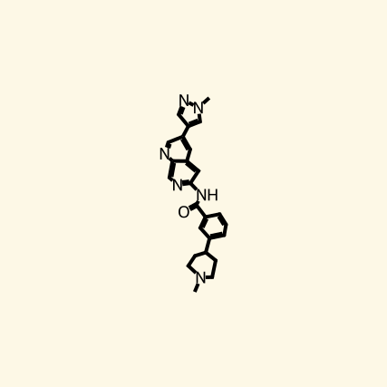 CN1CCC(c2cccc(C(=O)Nc3cc4cc(-c5cnn(C)c5)cnc4cn3)c2)CC1